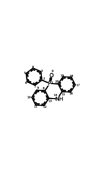 O=P1(c2ccccc2)c2ccccc2Nc2ccccc21